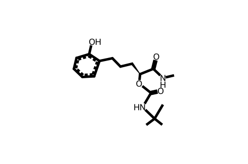 CNC(=O)[C@H](CCCc1ccccc1O)OC(=O)NC(C)(C)C